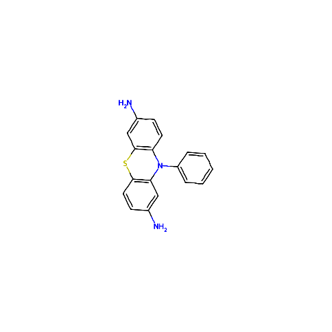 Nc1ccc2c(c1)Sc1ccc(N)cc1N2c1ccccc1